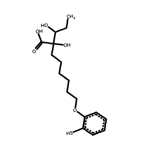 CCC(O)C(O)(CCCCCCOc1ccccc1S)C(=O)O